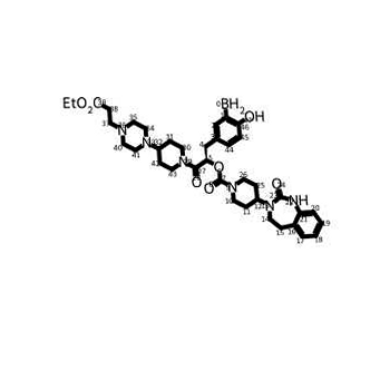 Bc1cc(C[C@@H](OC(=O)N2CCC(N3CCc4ccccc4NC3=O)CC2)C(=O)N2CCC(N3CCN(CCC(=O)OCC)CC3)CC2)ccc1O